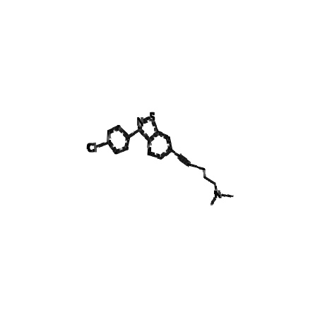 CN(C)CCCC#Cc1ccc2c(-c3ccc(Cl)cc3)nsc2c1